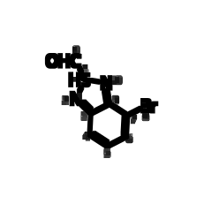 O=C[SH]1N=c2cccc(Br)c2=N1